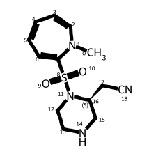 CN1C=CC=CC=C1S(=O)(=O)N1CCNC[C@@H]1CC#N